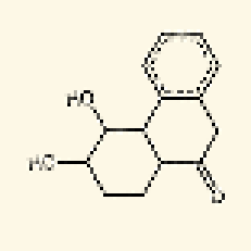 O=C1Cc2ccccc2C2C1CCC(O)C2O